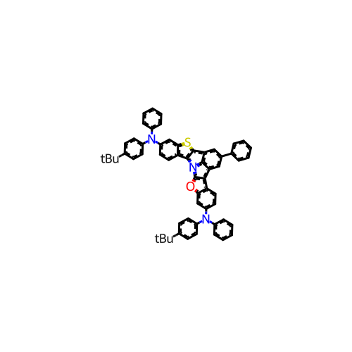 CC(C)(C)c1ccc(N(c2ccccc2)c2ccc3c(c2)oc2c3c3cc(-c4ccccc4)cc4c5sc6cc(N(c7ccccc7)c7ccc(C(C)(C)C)cc7)ccc6c5n2c43)cc1